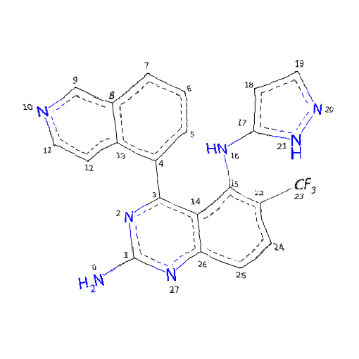 Nc1nc(-c2cccc3cnccc23)c2c(Nc3ccn[nH]3)c(C(F)(F)F)ccc2n1